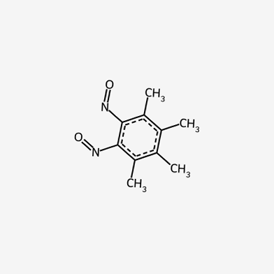 Cc1c(C)c(C)c(N=O)c(N=O)c1C